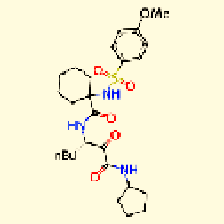 CCCC[C@H](NC(=O)C1(NS(=O)(=O)c2ccc(OC)cc2)CCCCC1)C(=O)C(=O)NC1CCCC1